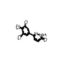 CCc1c(Cl)cc(-c2ccc(=O)[nH]n2)cc1Cl